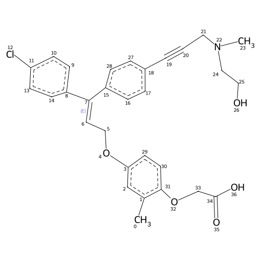 Cc1cc(OC/C=C(/c2ccc(Cl)cc2)c2ccc(C#CCN(C)CCO)cc2)ccc1OCC(=O)O